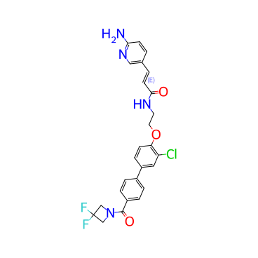 Nc1ccc(/C=C/C(=O)NCCOc2ccc(-c3ccc(C(=O)N4CC(F)(F)C4)cc3)cc2Cl)cn1